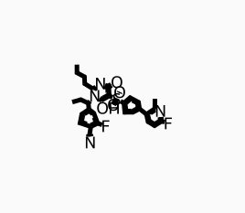 CCCCc1nc(=O)c(S(=O)(=O)c2ccc(-c3ccc(F)nc3C)cc2)c(O)n1C(CC)c1ccc(C#N)c(F)c1